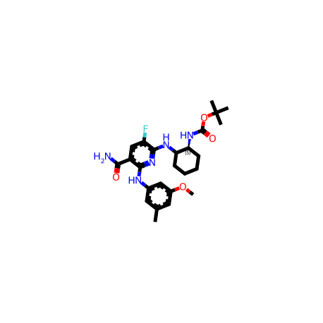 COc1cc(C)cc(Nc2nc(NC3CCCC[C@@H]3NC(=O)OC(C)(C)C)c(F)cc2C(N)=O)c1